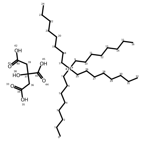 CCCCCCCC[N+](CCCCCCCC)(CCCCCCCC)CCCCCCCC.O=C(O)CC(O)(CC(=O)O)C(=O)O